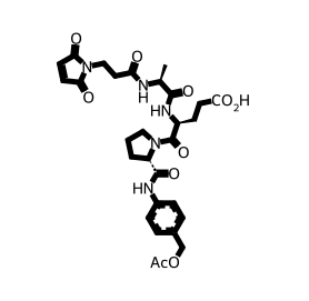 CC(=O)OCc1ccc(NC(=O)[C@@H]2CCCN2C(=O)[C@H](CCC(=O)O)NC(=O)[C@H](C)NC(=O)CCN2C(=O)C=CC2=O)cc1